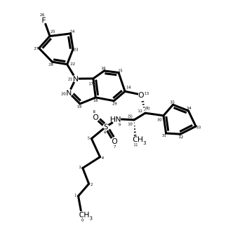 CCCCCCS(=O)(=O)N[C@@H](C)[C@H](Oc1ccc2c(cnn2-c2ccc(F)cc2)c1)c1ccccc1